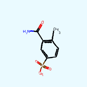 Cc1ccc(S(=O)(=O)O)cc1C(N)=O